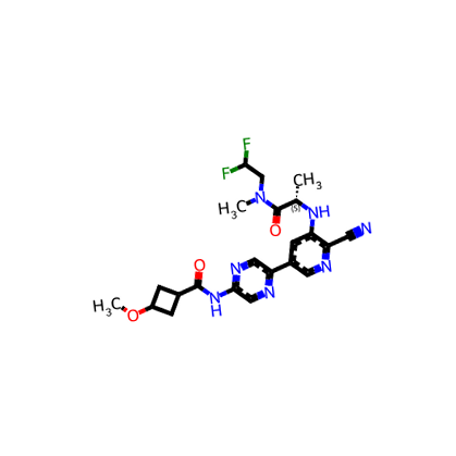 COC1CC(C(=O)Nc2cnc(-c3cnc(C#N)c(N[C@@H](C)C(=O)N(C)CC(F)F)c3)cn2)C1